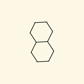 [CH]1[CH]CC2CC[CH]CC2C1